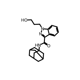 O=C(NC12CC3CC(CC(C3)C1)C2)c1nn(CCCO)c2ccccc12